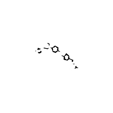 CCN(CC[n+]1ccn(C)c1)c1ccc(N=Nc2ccc(C=NN=C(C)C)cc2)cc1